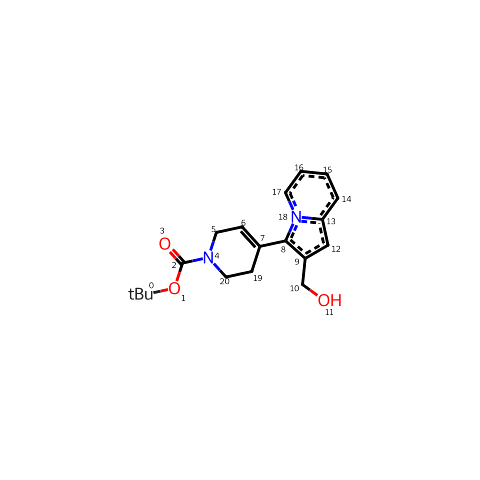 CC(C)(C)OC(=O)N1CC=C(c2c(CO)cc3ccccn23)CC1